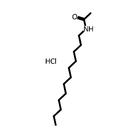 CCCCCCCCCCCCNC(C)=O.Cl